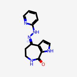 O=C1NCC/C(=N/Nc2ccccn2)c2cc[nH]c21